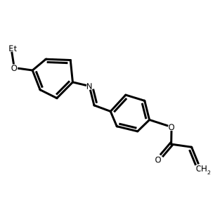 C=CC(=O)Oc1ccc(C=Nc2ccc(OCC)cc2)cc1